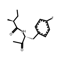 CC[C@H](C)C(=O)N[C@H](Cc1ccc(F)cc1)C(C)=O